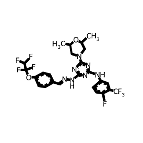 CC1CN(c2nc(N/N=C/c3ccc(OC(F)(F)C(F)F)cc3)nc(Nc3ccc(F)c(C(F)(F)F)c3)n2)CC(C)O1